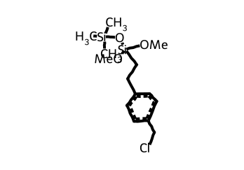 CO[Si](CCc1ccc(CCl)cc1)(OC)O[Si](C)(C)C